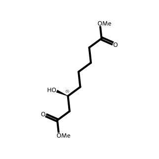 COC(=O)CCCC[C@H](O)CC(=O)OC